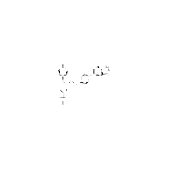 Cc1ccc(CC(NCc2ccc(-c3ccc4[nH]cnc4c3)cc2)OC(=O)C(F)(F)F)cc1